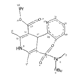 CCCCN(C)S(=O)(=O)C1=C(C)NC(C)=C(C(=O)OC(C)C)C1c1ccccn1